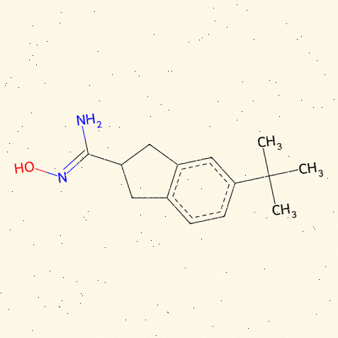 CC(C)(C)c1ccc2c(c1)CC(C(N)=NO)C2